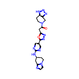 O=C(Cc1nnc(-c2cnc(NC3CCn4ccnc4C3)nc2)o1)N1CCc2[nH]nnc2C1